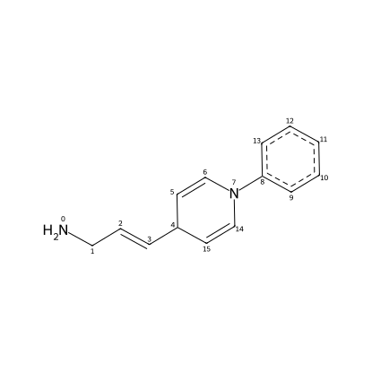 NCC=CC1C=CN(c2ccccc2)C=C1